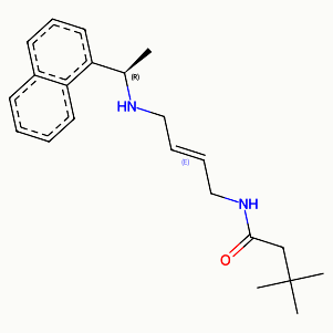 C[C@@H](NC/C=C/CNC(=O)CC(C)(C)C)c1cccc2ccccc12